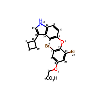 O=C(O)COc1cc(Br)c(Oc2ccc3[nH]cc(C4CCC4)c3c2)c(Br)c1